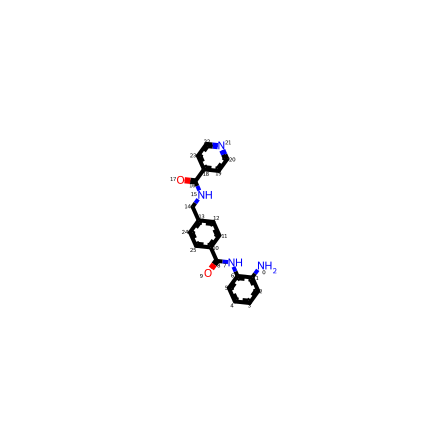 Nc1ccccc1NC(=O)c1ccc(CNC(=O)c2ccncc2)cc1